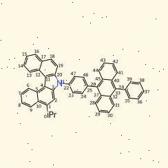 CC(C)c1cc2c(c3ccccc13)c1c3ccccc3ccc1n2-c1ccc(-c2c3ccccc3c(-c3ccccc3)c3ccccc23)cc1